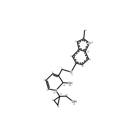 Cc1cc2cc(OCC3=CC=CN(C4(CO)CC4)C3O)ccc2o1